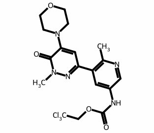 Cc1ncc(NC(=O)OCC(Cl)(Cl)Cl)cc1-c1cc(N2CCOCC2)c(=O)n(C)n1